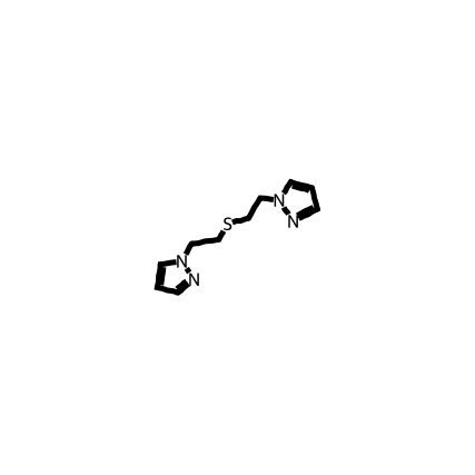 c1cnn(CCSCCn2cccn2)c1